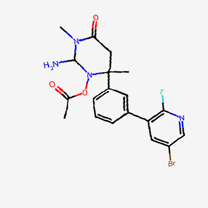 CC(=O)ON1C(N)N(C)C(=O)CC1(C)c1cccc(-c2cc(Br)cnc2F)c1